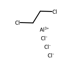 ClCCCl.[Al+3].[Cl-].[Cl-].[Cl-]